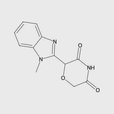 Cn1c(C2OCC(=O)NC2=O)nc2ccccc21